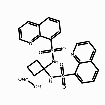 O=CO.O=S(=O)(NC1(NS(=O)(=O)c2cccc3cccnc23)CCC1)c1cccc2cccnc12